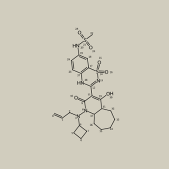 C=CCN(C1CCC1)N1C(=O)C(C2=NS(=O)(=O)c3cc(NS(C)(=O)=O)ccc3N2)=C(O)C2CCCCCC21